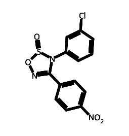 O=[N+]([O-])c1ccc(C2=NOS(=O)N2c2cccc(Cl)c2)cc1